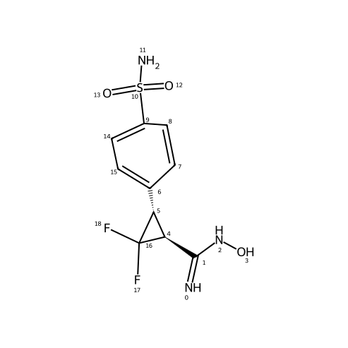 N=C(NO)[C@@H]1[C@@H](c2ccc(S(N)(=O)=O)cc2)C1(F)F